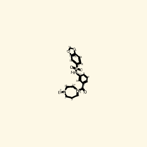 CCN1CCCN(C(=O)c2cccc(NS(=O)(=O)c3ccc4c(c3)OCO4)c2)CC1